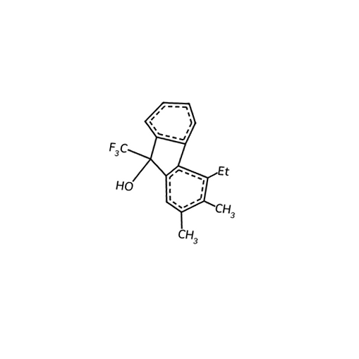 CCc1c(C)c(C)cc2c1-c1ccccc1C2(O)C(F)(F)F